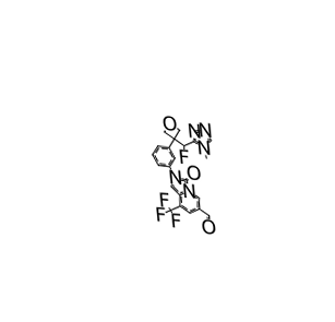 Cn1cnnc1C(F)C1(c2cccc(-n3cc4c(C(F)(F)F)cc(C=O)cn4c3=O)c2)COC1